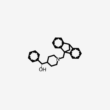 O[C@H](c1ccccc1)C1CCN(CC23CC(c4ccccc42)c2ccccc23)CC1